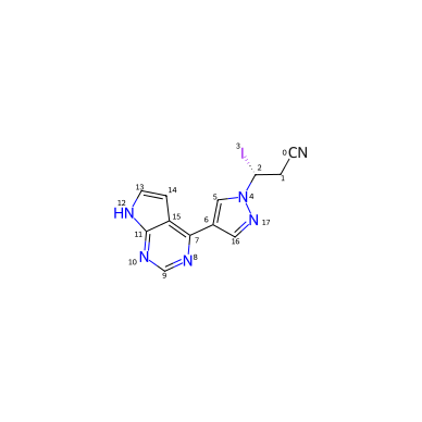 N#CC[C@@H](I)n1cc(-c2ncnc3[nH]ccc23)cn1